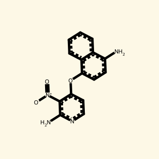 Nc1nccc(Oc2ccc(N)c3ccccc23)c1[N+](=O)[O-]